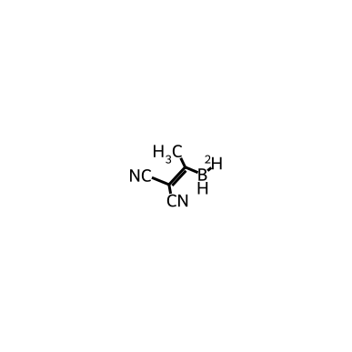 [2H]BC(C)=C(C#N)C#N